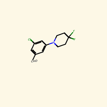 O=Cc1cc(Cl)cc(N2CCC(F)(F)CC2)c1